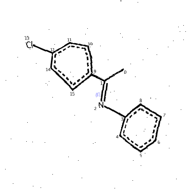 C/C(=N\c1ccccc1)c1ccc(Cl)cc1